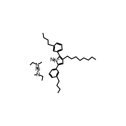 CCCCCCCCC1=C(c2cccc(CCCC)c2)[N+](=[N-])C(c2cccc(CCCC)c2)=C1.CC[N](C)[Ni][N](C)CC